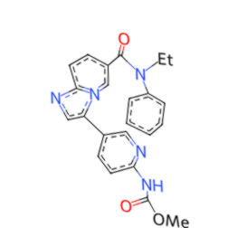 CCN(C(=O)c1ccc2ncc(-c3ccc(NC(=O)OC)nc3)n2c1)c1ccccc1